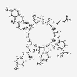 CNCCCC[C@@H]1NC(=O)[C@@H](Cc2ccc(C(N)=O)cc2)NC(=O)[C@H](Cc2ccc(O)cc2)NC(=O)[C@H](NC(=O)[C@@H](N)Cc2ccc(Cl)cc2)CSSC[C@@H](C(=O)N[C@H](Cc2ccc(Cl)cc2)C(N)=O)NC(=O)[C@H]([C@@H](C)O)NC1=O